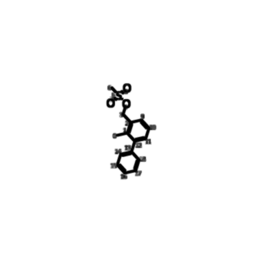 Cc1c(COS(C)(=O)=O)cccc1-c1ccccc1